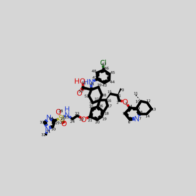 C[C@@H](COc1ccnc2c1[C@H](C)CCC2)C[C@H]1Cc2ccc(OCCNS(=O)(=O)c3cn(C)cn3)cc2C12CCC(Nc1cccc(Cl)c1)(C(=O)O)CC2